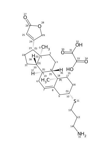 C[C@]12CC[C@H]3[C@@H](CC=C4C[C@@H](SCCCN)CC[C@@]43C)[C@@H]1CC[C@@H]2C1=CC(=O)OC1.O=C(O)C(=O)O